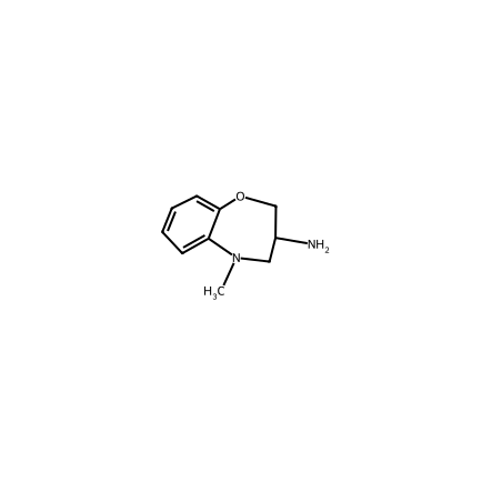 CN1CC(N)COc2ccccc21